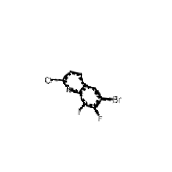 Fc1c(Br)cc2ccc(Cl)nc2c1I